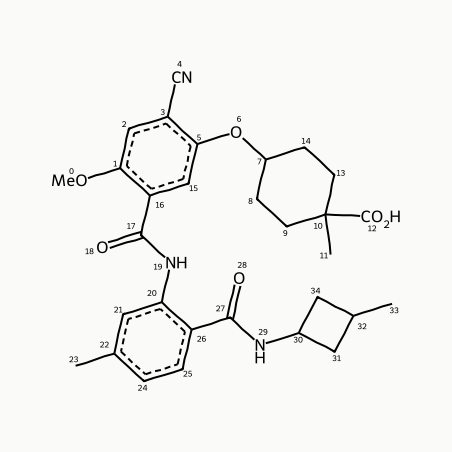 COc1cc(C#N)c(OC2CCC(C)(C(=O)O)CC2)cc1C(=O)Nc1cc(C)ccc1C(=O)NC1CC(C)C1